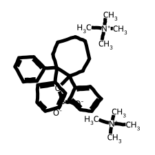 C[N+](C)(C)C.C[N+](C)(C)C.[O-]B([O-])OC1(c2ccccc2)CCCCCCC1(c1ccccc1)c1ccccc1